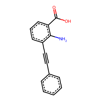 Nc1c(C#Cc2ccccc2)cccc1C(=O)O